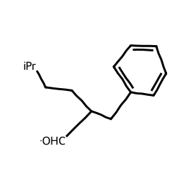 CC(C)CCC([C]=O)Cc1ccccc1